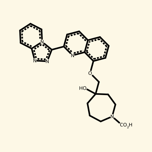 O=C(O)N1CCCC(O)(COc2cccc3ccc(-c4nnc5ccccn45)nc23)CC1